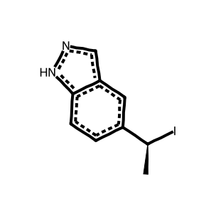 C[C@H](I)c1ccc2[nH]ncc2c1